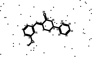 COc1cccc(C=C2CCC(c3ccccn3)CC2=O)c1